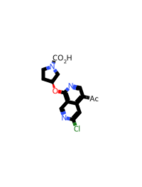 CC(=O)c1cnc(O[C@H]2CCN(C(=O)O)C2)c2cnc(Cl)cc12